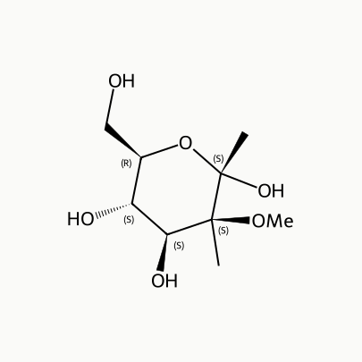 CO[C@@]1(C)[C@@H](O)[C@H](O)[C@@H](CO)O[C@]1(C)O